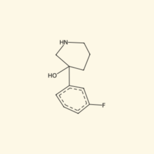 OC1(c2cccc(F)c2)CCCNC1